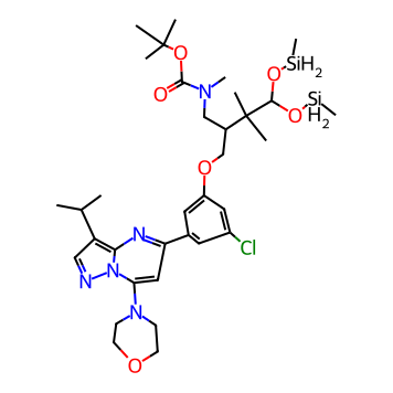 C[SiH2]OC(O[SiH2]C)C(C)(C)C(COc1cc(Cl)cc(-c2cc(N3CCOCC3)n3ncc(C(C)C)c3n2)c1)CN(C)C(=O)OC(C)(C)C